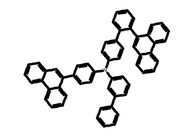 c1ccc(-c2cccc(N(c3ccc(-c4ccccc4-c4cc5ccccc5c5ccccc45)cc3)c3ccc(-c4cc5ccccc5c5ccccc45)cc3)c2)cc1